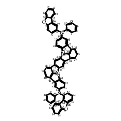 c1ccc(N(c2ccc3oc4ccccc4c3c2)c2ccc3c(c2)c2cccc4c5cc6c(cc5n3c24)c2cccc3c4cc(N(c5ccccc5)c5cccc7oc8ccccc8c57)ccc4n6c32)cc1